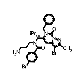 Cc1nn2c(=O)n(Cc3ccccc3)c([C@@H](C(C)C)N(CCCN)C(=O)c3ccc(Br)cc3)cc2c1Br